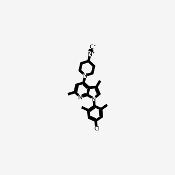 [C-]#[N+]C1CCN(c2cc(C)nc3c2c(C)cn3-c2c(C)cc(Cl)cc2C)CC1